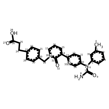 Cc1cccc(N(C(N)=O)c2ccc(-c3cccn(Cc4ccc(CCC(=O)O)cc4)c3=O)nc2)c1